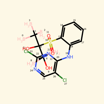 BC(B)(B)C(O)(C(B)(B)O)S(=O)(=O)c1ccccc1Nc1nc(Cl)ncc1Cl